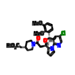 CCOC(=O)CC1CCN(C(=O)C[C@H]2O[C@H](c3cccc(OC)c3OC)c3cc(Cl)cnc3-n3cccc32)CC1